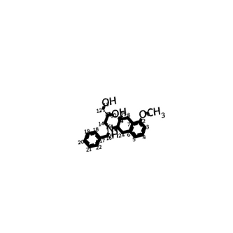 COc1cccc2c1C[C@H]1O[C@@H](CO)CN(Cc3ccccc3)[C@@H]1C2